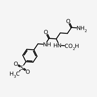 CS(=O)(=O)c1ccc(CNC(=O)C(CCC(N)=O)NC(=O)O)cc1